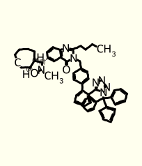 CCCCc1nc2ccc([C@H]3[C@@H]4CCCCCC[C@@H]4ON3C)cc2c(=O)n1Cc1ccc(-c2ccccc2-c2nnnn2C(c2ccccc2)(c2ccccc2)c2ccccc2)cc1